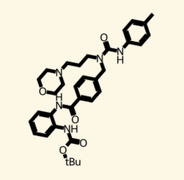 Cc1ccc(NC(=O)N(CCCN2CCOCC2)Cc2ccc(C(=O)Nc3ccccc3NC(=O)OC(C)(C)C)cc2)cc1